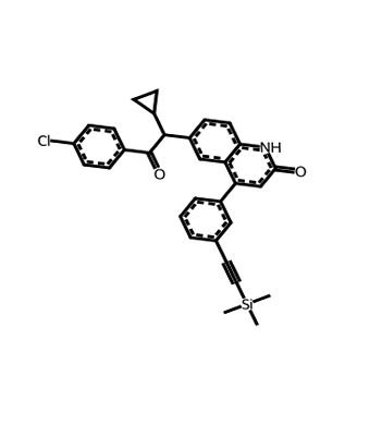 C[Si](C)(C)C#Cc1cccc(-c2cc(=O)[nH]c3ccc(C(C(=O)c4ccc(Cl)cc4)C4CC4)cc23)c1